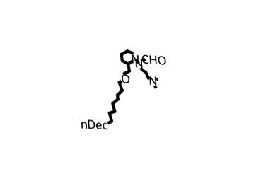 CCCCCCCCCCCCCCCCCCOCCC1CCCCN1N(C=O)CCCN(C)C